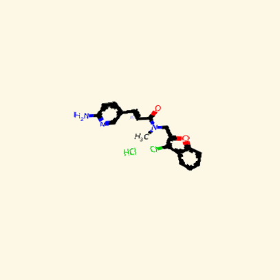 CN(Cc1oc2ccccc2c1Cl)C(=O)/C=C/c1ccc(N)nc1.Cl